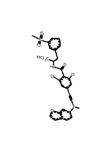 CP(C#Cc1cc(Cl)c(C(=O)NC(Cc2cccc(S(C)(=O)=O)c2)C(=O)O)c(Cl)c1)c1ccc2ccoc2c1